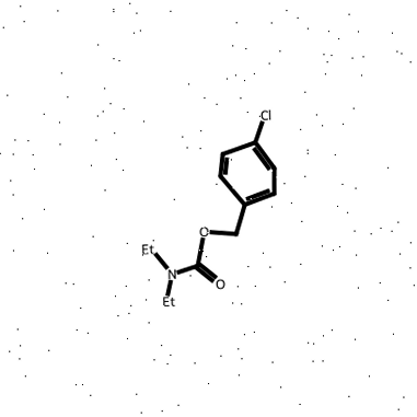 CCN(CC)C(=O)OCc1ccc(Cl)cc1